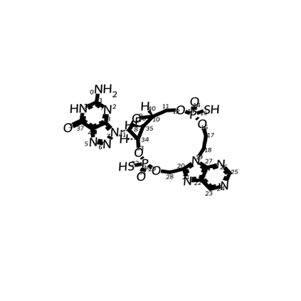 Nc1nc2c(nnn2[C@@H]2O[C@@H]3COP(=O)(S)OCCn4c(nc5cncnc54)COP(=O)(S)O[C@@H]2[C@@H]3F)c(=O)[nH]1